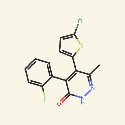 Cc1n[nH]c(=O)c(-c2ccccc2F)c1-c1ccc(Cl)s1